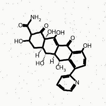 C[C@H]1c2c(-c3ccccn3)ccc(O)c2C(=O)C2=C(O)[C@]3(O)C(=O)C(C(N)=O)C(O)C[C@@H]3[C@@H](O)[C@@H]21